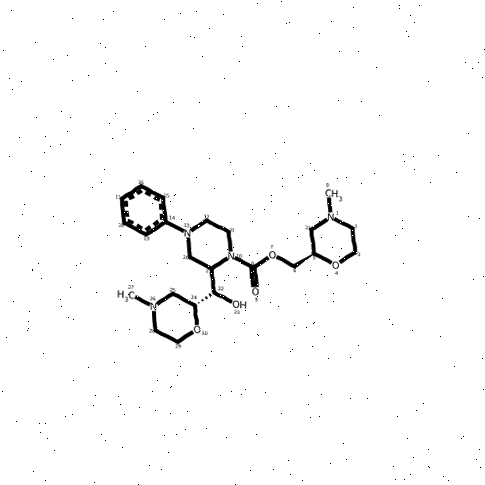 CN1CCO[C@@H](COC(=O)N2CCN(c3ccccc3)CC2C(O)[C@H]2CN(C)CCO2)C1